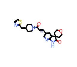 O=C(/C=C/c1cnc2c(c1)C1(CCOCC1)C(=O)N2)N1CCC(=Cc2nccs2)CC1